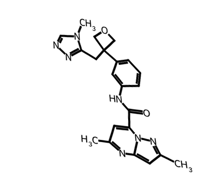 Cc1cc(C(=O)Nc2cccc(C3(Cc4nncn4C)COC3)c2)n2nc(C)cc2n1